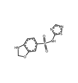 O=S(=O)(Nc1ncns1)c1ccc2c(c1)OCN2